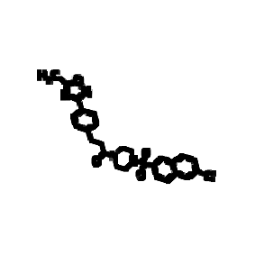 Cc1nc(-c2ccc(CCC(=O)N3CCN(S(=O)(=O)c4ccc5cc(Cl)ccc5c4)CC3)cc2)no1